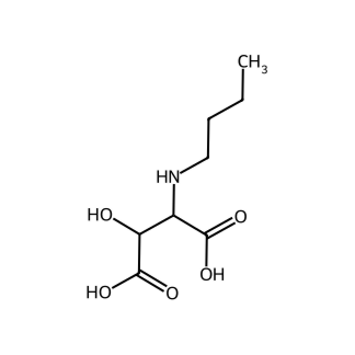 CCCCNC(C(=O)O)C(O)C(=O)O